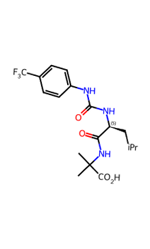 CC(C)C[C@H](NC(=O)Nc1ccc(C(F)(F)F)cc1)C(=O)NC(C)(C)C(=O)O